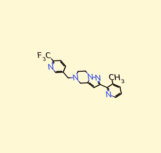 Cc1cccnc1-c1cc2n(n1)CCN(Cc1ccc(C(F)(F)F)nc1)C2